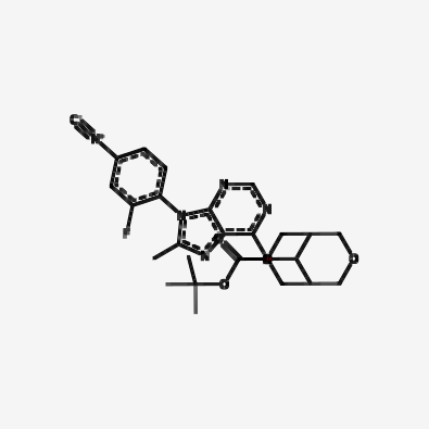 [C-]#[N+]c1ccc(-n2c(C)nc3c(OC4C5COCC4CN(C(=O)OC(C)(C)C)C5)ncnc32)c(F)c1